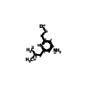 CCSCc1cccc(CN(C)C)n1.N